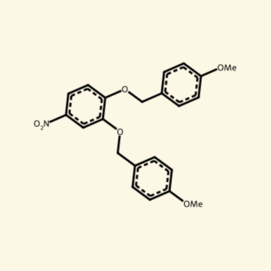 COc1ccc(COc2ccc([N+](=O)[O-])cc2OCc2ccc(OC)cc2)cc1